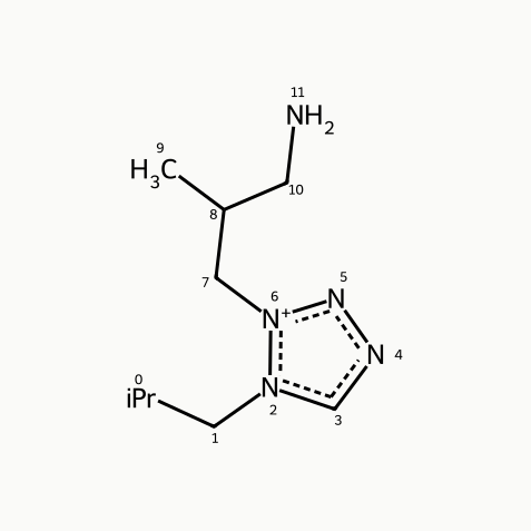 CC(C)Cn1cnn[n+]1CC(C)CN